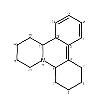 C1=CC2=C3CCCCC3N3CCCCC3C2C=C1